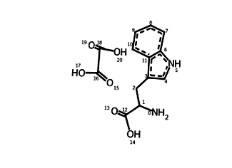 NC(Cc1c[nH]c2ccccc12)C(=O)O.O=C(O)C(=O)O